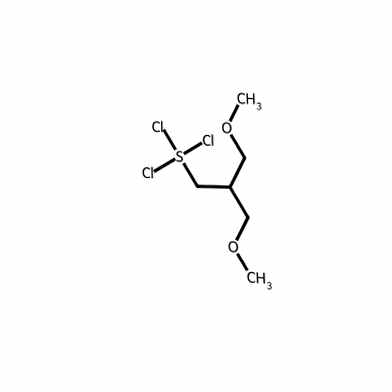 COCC(COC)CS(Cl)(Cl)Cl